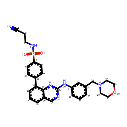 N#CCCNS(=O)(=O)c1ccc(-c2cccc3cnc(Nc4cccc(CN5CCOCC5)c4)nc23)cc1